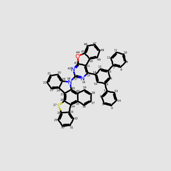 c1ccc(-c2cc(-c3ccccc3)cc(-c3nc(-n4c5ccccc5c5c6sc7ccccc7c6c6ccccc6c54)nc4oc5ccccc5c34)c2)cc1